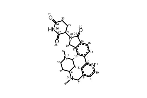 CN1CCC(N(C)Cc2ccnc(-c3ccc4c(c3)CN(C3CCC(=O)NC3=O)C4=O)c2)CC1